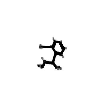 CCc1nccnc1C(C)=NN